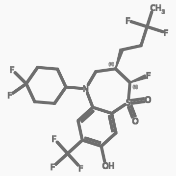 CC(F)(F)CC[C@@H]1CN(C2CCC(F)(F)CC2)c2cc(C(F)(F)F)c(O)cc2S(=O)(=O)[C@@H]1F